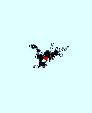 CNc1cc(-n2nc(C(=O)NCCN3CCOCC3)cc2Nc2cc(NC(=O)c3cc(Cl)nc(OC)c3)ccc2C)ncn1